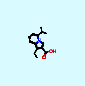 CCc1c(C(=O)O)cn2c(C(C)C)cccc12